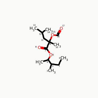 CCC(C)C(C)OC(=O)C(C)(CC(C)C)O[C]=O